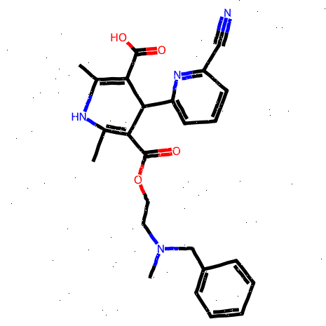 CC1=C(C(=O)O)C(c2cccc(C#N)n2)C(C(=O)OCCN(C)Cc2ccccc2)=C(C)N1